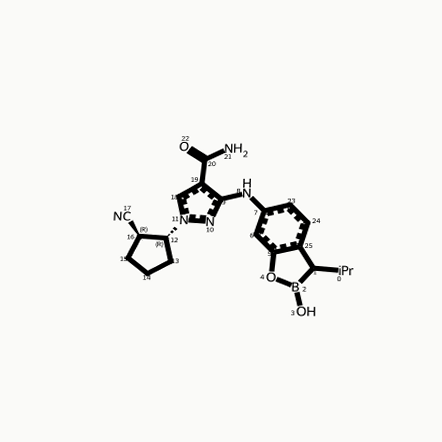 CC(C)C1B(O)Oc2cc(Nc3nn([C@@H]4CCC[C@H]4C#N)cc3C(N)=O)ccc21